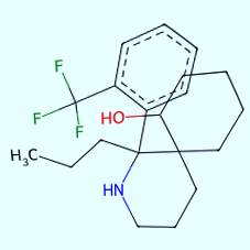 CCCC1(c2ccccc2C(F)(F)F)NCCCC12CCCCC2O